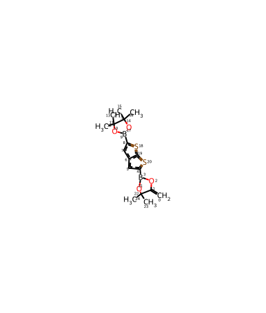 C=C1OB(c2cc3cc(B4OC(C)(C)C(C)(C)O4)sc3s2)OC1(C)C